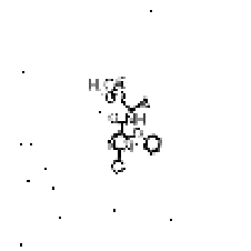 CS(=O)(=O)/C=C/C(NC(=O)c1cnc(C2CCC2)nc1Oc1ccccc1)C1CC1